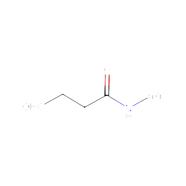 [CH2]CCNC(=O)CCC=O